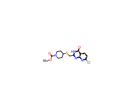 CC(C)(C)OC(=O)N1CCC(SCc2nc3nc(Cl)ccc3c(=O)[nH]2)CC1